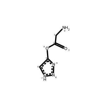 NCC(=O)Oc1c[nH]nn1